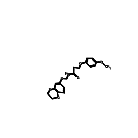 COc1ccc(OCCC(=O)NCOc2ccc3c(c2)OCCO3)cc1